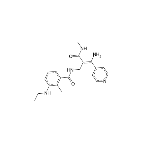 CCNc1cccc(C(=O)NC/C(C(=O)NC)=C(/N)c2ccncc2)c1C